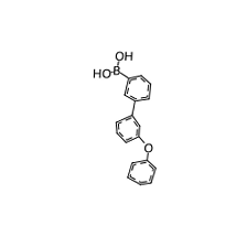 OB(O)c1cccc(-c2cccc(Oc3ccccc3)c2)c1